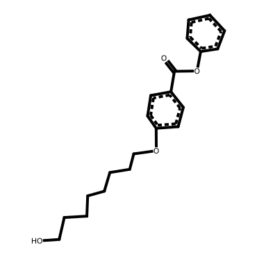 O=C(Oc1cc[c]cc1)c1ccc(OCCCCCCCCO)cc1